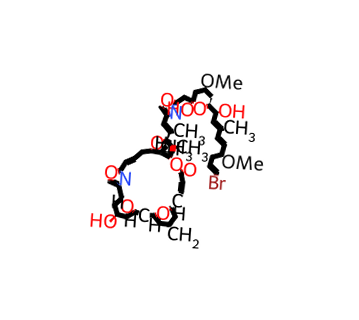 C=C1C[C@@H]2C[C@@H]3C[C@@H](O)C[C@@H](O3)c3coc(n3)/C=C/CC3O[C@@H](/C(C)=C/c4coc(C[C@]5(O)C[C@H](OC)C[C@H]([C@H](O)/C=C(C)/C=C/[C@@H](C/C=C/Br)OC)O5)n4)[C@H](C)[C@@H](OC(=O)/C=C\C[C@@H](C1)O2)[C@@H]3C